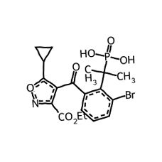 CCOC(=O)c1noc(C2CC2)c1C(=O)c1cccc(Br)c1C(C)(C)P(=O)(O)O